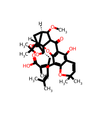 COC1C2C(=O)c3c(O)c4c(c(CC=C(C)C)c3O[C@@]23[C@H]2C[C@@H]1C(=O)[C@]3(C/C=C(/C)C(=O)O)OC2(C)C)OC(C)(C)C=C4